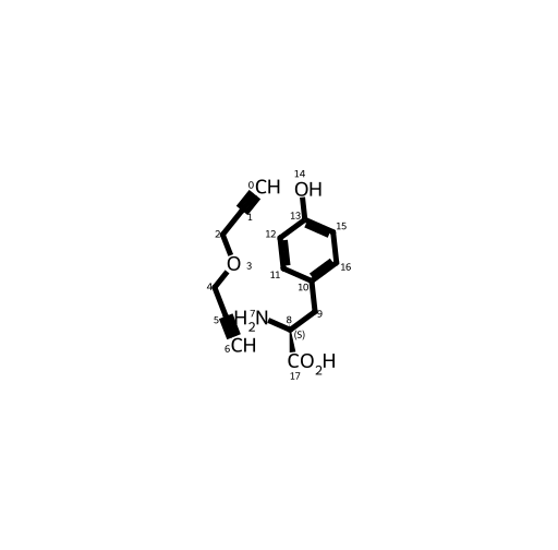 C#CCOCC#C.N[C@@H](Cc1ccc(O)cc1)C(=O)O